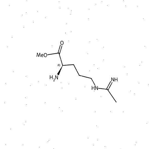 COC(=O)[C@H](N)CCCNC(C)=N